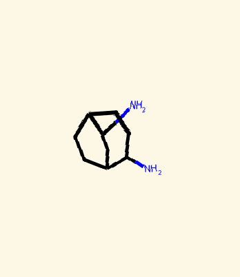 NC1CC2CCC1CCC2N